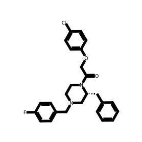 O=C(COc1ccc(Cl)cc1)N1CCN(Cc2ccc(F)cc2)C[C@H]1Cc1ccccc1